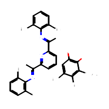 CC(=Nc1c(C(C)C)cccc1C(C)C)c1cccc(C(C)=Nc2c(C(C)C)cccc2C(C)C)n1.CC(C)c1cc(O)c(O)c(C(=O)[O-])c1C(C)C.[Co+]